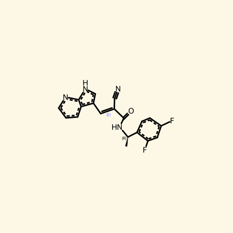 C[C@@H](NC(=O)/C(C#N)=C/c1c[nH]c2ncccc12)c1ccc(F)cc1F